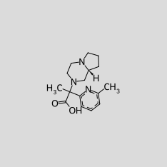 Cc1cccc(C(C)(C(=O)O)N2CCN3CCC[C@@H]3C2)n1